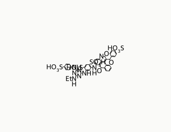 CCNc1nc(Nc2ccc(S(=O)(=O)O)cc2)nc(Nc2cc(Nc3ccc4c5c3C(=O)c3ccccc3-c5c(C(=O)c3cccc(S(=O)(=O)O)c3)c(=O)n4C)c(S(=O)(=O)O)cc2S(=O)(=O)O)n1